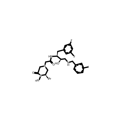 CCCN1C(=O)CN(CC(=O)N[C@@H](Cc2cc(F)cc(F)c2)[C@H](O)CNCc2cccc(I)c2)C[C@H]1C(C)C